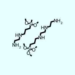 CO[Si](C)(CCCNCCN)OC.CO[Si](CCCNCCNCCN)(OC)OC